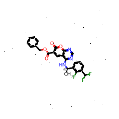 C[C@@H](Nc1ncnc2oc(=O)c(C(=O)OCc3ccccc3)cc12)c1cccc(C(F)F)c1F